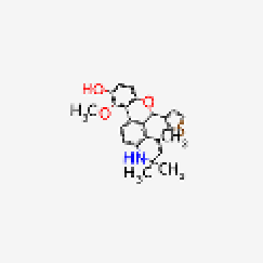 COc1c(O)ccc2c1-c1ccc3c(c1C(c1ccsc1)O2)C(C)=CC(C)(C)N3